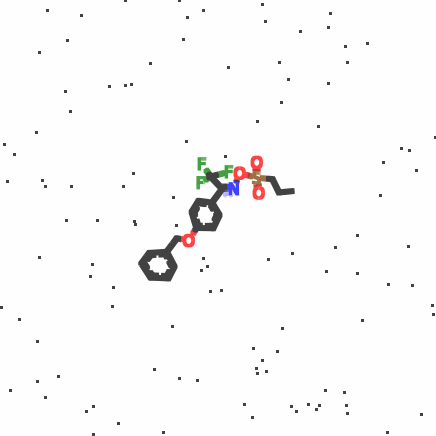 CCCS(=O)(=O)O/N=C(/c1ccc(OCc2ccccc2)cc1)C(F)(F)F